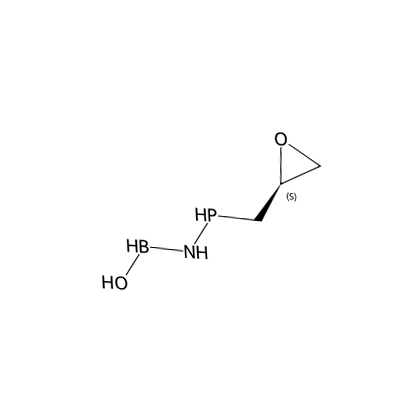 OBNPC[C@@H]1CO1